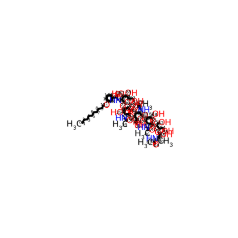 CCCCCCCCCCCOc1cccc(C(=O)N[C@@H]2C(O[C@H]3C(O)C(NC(C)=O)[C@H](OC4C(CO)O[C@@H](O[C@H]5C(O)C(NC(C)=O)C(OC(CO)C(CO)OC(O)[C@H](C)NC(C)=O)O[C@H]5CO)[C@@H](NC(C)=O)[C@H]4O)O[C@H]3CO)OC(CO)[C@@H](O)[C@@H]2O)c1